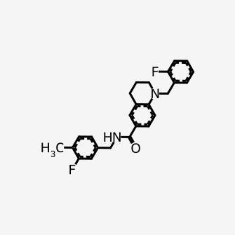 Cc1ccc(CNC(=O)c2ccc3c(c2)CCCN3Cc2ccccc2F)cc1F